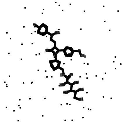 COc1ccc(C2C(CCC(O)c3ccc(F)cc3)C(=O)N2c2cccc(CNC(=O)C(O)C(O)C(O)C(O)CO)c2)cc1